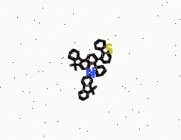 CC1(C)c2ccccc2-c2ccc(N(c3ccc4c(c3)C(C)(C)c3ccccc3-4)c3ccccc3-c3ccccc3-c3cccc4sc5ccccc5c34)cc21